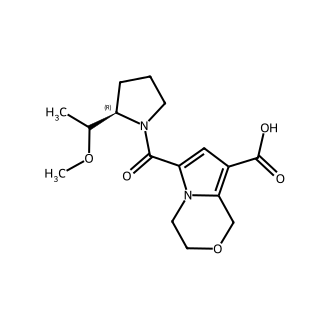 COC(C)[C@H]1CCCN1C(=O)c1cc(C(=O)O)c2n1CCOC2